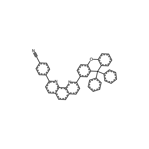 N#Cc1ccc(-c2ccc3ccc4ccc(-c5ccc6c(c5)C(c5ccccc5)(c5ccccc5)c5ccccc5O6)nc4c3n2)cc1